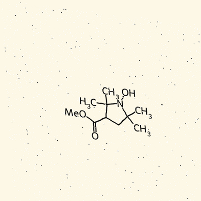 COC(=O)C1CC(C)(C)N(O)C1(C)C